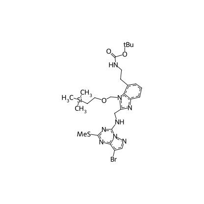 CSc1nc(NCc2nc3cccc(CCNC(=O)OC(C)(C)C)c3n2COCC[Si](C)(C)C)n2ncc(Br)c2n1